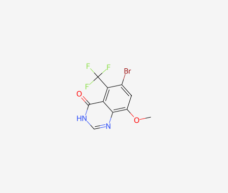 COc1cc(Br)c(C(F)(F)F)c2c(=O)[nH]cnc12